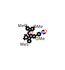 COc1ccc(C2(c3ccc(OC)cc3)C=Cc3c4c(c5cc(OC)c(-c6ccc(N7CCOCC7)cc6)cc5c3O2)-c2ccc(SC)cc2C42CC(C)(C)CC(C)(C)C2)cc1